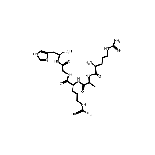 CC(NC(=O)[C@@H](N)CCCNC(=N)N)C(=O)N[C@@H](CCCNC(=N)N)C(=O)NCC(=O)N[C@@H](Cc1c[nH]cn1)C(=O)O